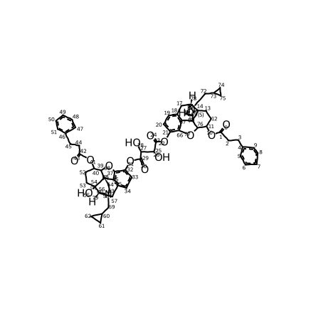 O=C(CCc1ccccc1)OC1CC[C@@]2(O)[C@H]3Cc4ccc(OC(=O)C(O)C(O)C(=O)Oc5ccc6c7c5OC5C(OC(=O)CCc8ccccc8)CC[C@@]8(O)[C@@H](C6)N(CC6CC6)CC[C@]758)c5c4[C@@]2(CCN3CC2CC2)C1O5